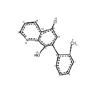 Cc1ccccc1-c1cc(Cl)c2cccnc2c1O